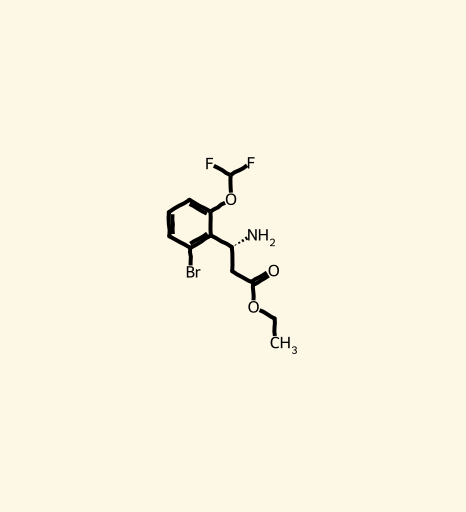 CCOC(=O)C[C@@H](N)c1c(Br)cccc1OC(F)F